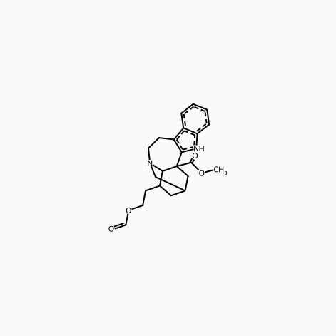 COC(=O)C12CC3CC(CCOC=O)C1N(CCc1c2[nH]c2ccccc12)C3